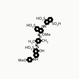 COc1ccc(Nc2ccc3c(O)c(N=Nc4cc(C)c(N=Nc5c(OC)cc(N=Nc6cc(S(=O)(=O)O)c7cccc(S(=O)(=O)O)c7c6)c6cc(S(=O)(=O)O)ccc56)cc4C)c(S(=O)(=O)O)cc3c2)cc1